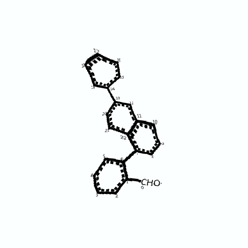 O=[C]c1ccccc1-c1cccc2cc(-c3ccccc3)ccc12